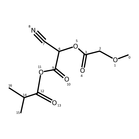 COCC(=O)OC(C#N)C(=O)OC(=O)C(C)C